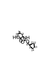 C=C(C)CC(NC(=O)OCc1ccccc1)C(=O)O